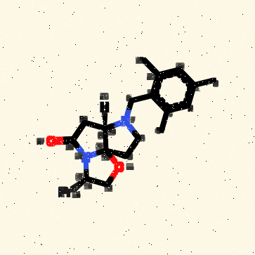 Cc1cc(C)c(CN2CC[C@@]34OC[C@@H](C(C)C)N3C(=O)C[C@@H]24)c(C)c1